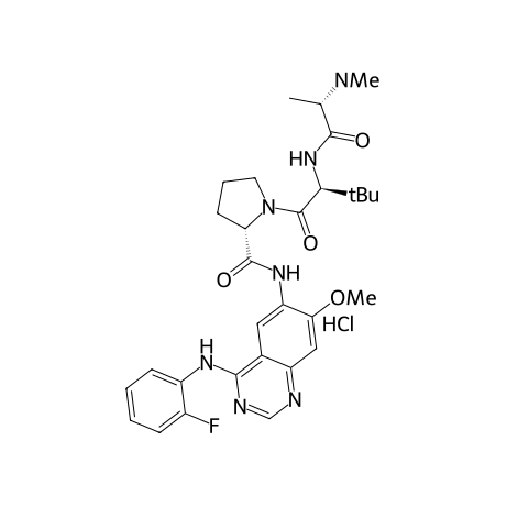 CN[C@@H](C)C(=O)N[C@H](C(=O)N1CCC[C@H]1C(=O)Nc1cc2c(Nc3ccccc3F)ncnc2cc1OC)C(C)(C)C.Cl